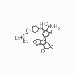 CCN(CC)CCO[C@H]1CC[C@H](Nc2cc(-n3c4c(c5c3CC(C)(C)CC5=O)COC4)cc(F)c2C(N)=O)CC1